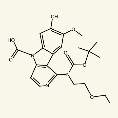 CCOCCN(C(=O)OC(C)(C)C)c1nccc2c1c1cc(OC)c(O)cc1n2C(=O)O